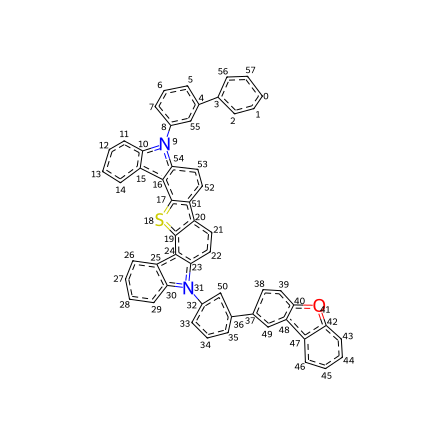 c1ccc(-c2cccc(-n3c4ccccc4c4c5sc6c(ccc7c6c6ccccc6n7-c6cccc(-c7ccc8oc9ccccc9c8c7)c6)c5ccc43)c2)cc1